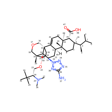 CC(C)[C@@H](C)[C@@]1(C)CC[C@]2(C)[C@H]3CC[C@@H]4[C@@]5(COC[C@@]4(C)[C@@H](OC[C@H](N(C)C)C(C)(C)C)[C@H](n4nnc(N)n4)C5)C3=CC[C@@]2(C)[C@@H]1C(=O)O